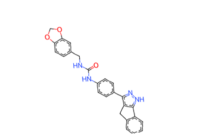 O=C(NCc1ccc2c(c1)OCO2)Nc1ccc(-c2n[nH]c3c2Cc2ccccc2-3)cc1